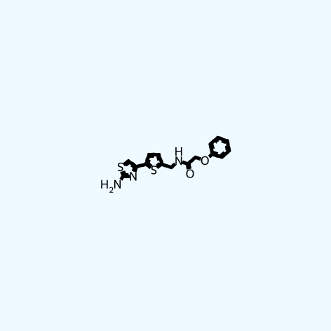 Nc1nc(-c2ccc(CNC(=O)COc3ccccc3)s2)cs1